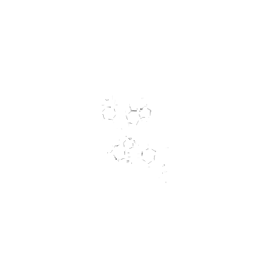 CC[C@@H](c1cc2scc(Cl)n2c(=O)c1-c1cccc(C)c1)n1nc(-c2ccc(OC3CC3)c(F)c2)c2c(N)ncnc21